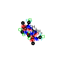 Cc1nc([C@H]2OC3CO[C@H](c4ccccc4)OC3[C@@H](n3cc(-c4cc(F)c(Cl)c(F)c4)nn3)[C@@H]2OCC(=O)N(C)CCCCN(C)C(=O)CO[C@@H]2[C@@H](n3cc(-c4cc(F)c(Cl)c(F)c4)nn3)[C@H]3O[C@@H](c4ccccc4)OC[C@H]3O[C@H]2c2nc(C)nn2-c2cc(Cl)ccc2Cl)n(-c2cc(Cl)ccc2Cl)n1